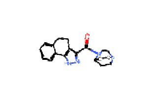 O=C(c1n[nH]c2c1CCc1ccccc1-2)N1CCN2CCC1CC2